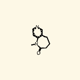 CN1C(=O)CCCc2cnccc21